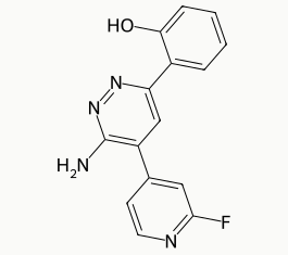 Nc1nnc(-c2ccccc2O)cc1-c1ccnc(F)c1